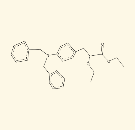 CCOC(=O)C(Cc1ccc(N(Cc2ccccc2)Cc2ccccc2)cc1)OCC